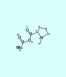 CN1CCCC1C(=O)OC(=O)C(C)(C)C